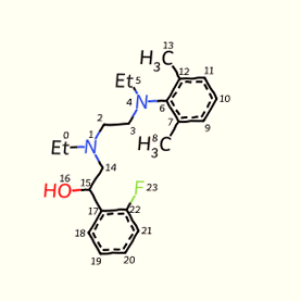 CCN(CCN(CC)c1c(C)cccc1C)CC(O)c1ccccc1F